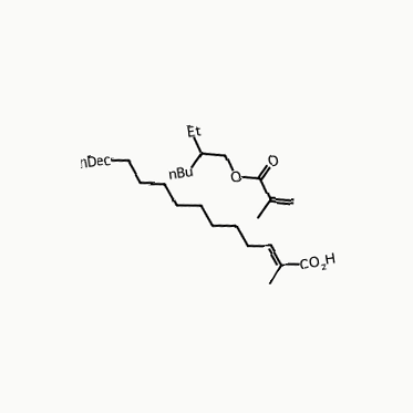 C=C(C)C(=O)OCC(CC)CCCC.CCCCCCCCCCCCCCCCCCC=C(C)C(=O)O